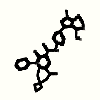 Cn1cc(-c2ccc(NC(=O)c3cc4c(n(-c5ccccc5)c3=O)CC3(CCC3)CC4=O)cc2)c2c(N)ncnc21